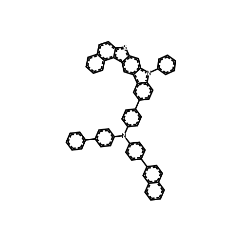 c1ccc(-c2ccc(N(c3ccc(-c4ccc5ccccc5c4)cc3)c3ccc(-c4ccc5c(c4)c4cc6c(cc4n5-c4ccccc4)sc4ccc5ccccc5c46)cc3)cc2)cc1